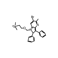 CC1=NC2=C(c3ccccc3)C(c3ccccc3)N(COCC[Si](C)(C)C)N2C=C1Br